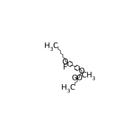 CCCCCCCCOc1ccc(-c2ccc(OC(C)COC(=O)CCCC)cc2)cc1F